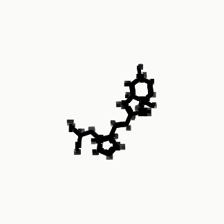 CN1C=C[N+]2(C)NC(/C=C/c3nccn3CC(F)F)=NC2=C1